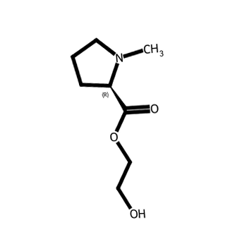 CN1CCC[C@@H]1C(=O)OCCO